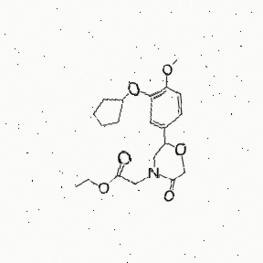 CCOC(=O)CN1CC(c2ccc(OC)c(OC3CCCC3)c2)OCC1=O